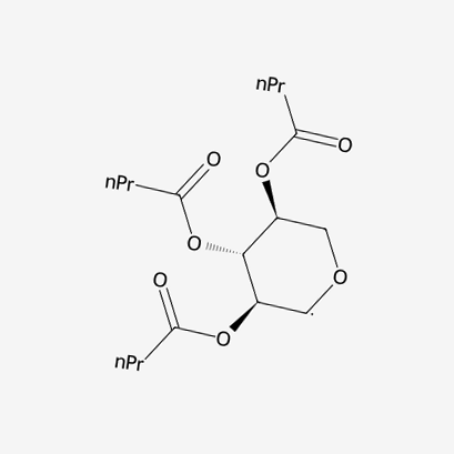 CCCC(=O)O[C@@H]1[C@@H](OC(=O)CCC)CO[CH][C@H]1OC(=O)CCC